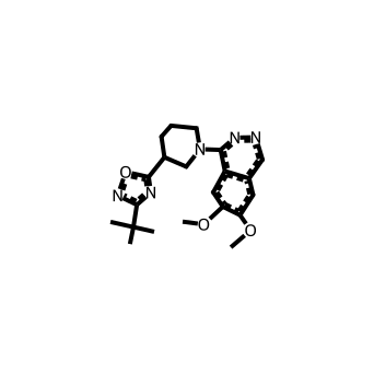 COc1cc2cnnc(N3CCCC(c4nc(C(C)(C)C)no4)C3)c2cc1OC